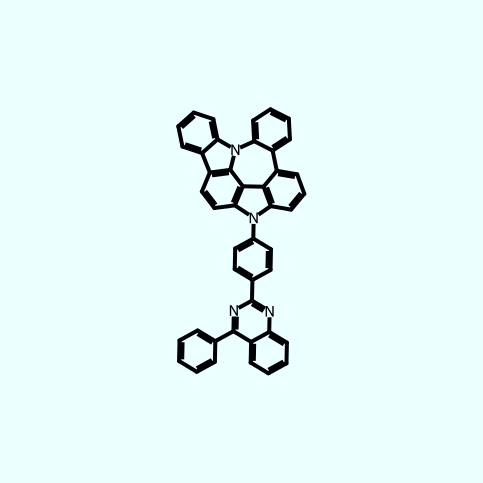 c1ccc(-c2nc(-c3ccc(-n4c5cccc6c7ccccc7n7c8ccccc8c8ccc4c(c65)c87)cc3)nc3ccccc23)cc1